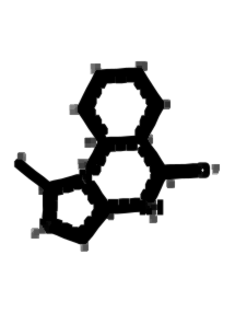 Cc1ncc2[nH]c(=O)c3ccccc3n12